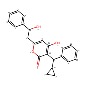 O=c1oc(CC(O)c2ccccc2)cc(O)c1C(c1ccccc1)C1CC1